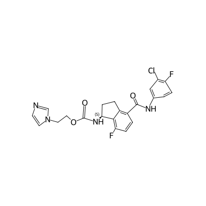 O=C(N[C@H]1CCc2c(C(=O)Nc3ccc(F)c(Cl)c3)ccc(F)c21)OCCn1ccnc1